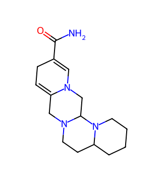 NC(=O)C1=CN2CC3N(CCC4CCCCN43)CC2=CC1